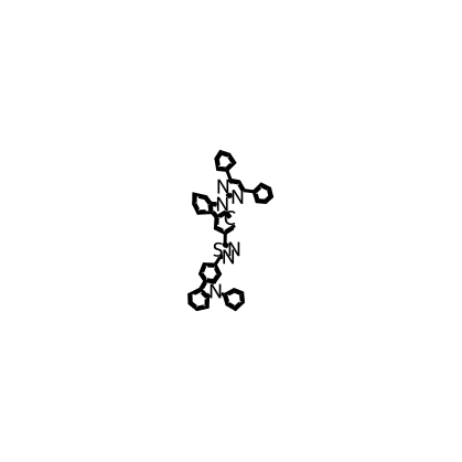 c1ccc(-c2cc(-c3ccccc3)nc(-n3c4ccccc4c4cc(-c5nnc(-c6ccc7c8ccccc8n(-c8ccccc8)c7c6)s5)ccc43)n2)cc1